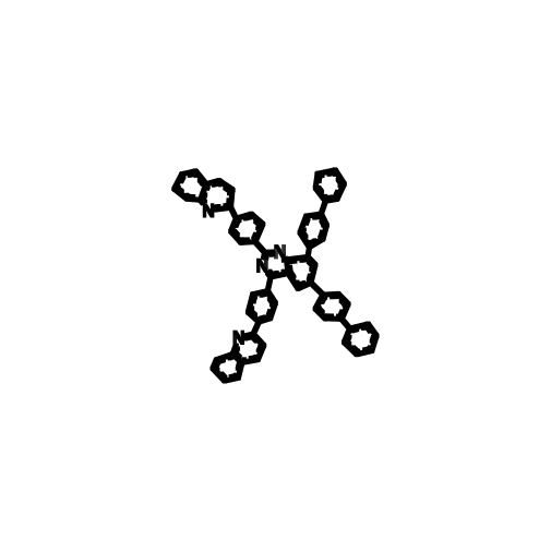 c1ccc(-c2ccc(-c3cc(-c4ccc(-c5ccccc5)cc4)c4nc(-c5ccc(-c6ccc7ccccc7n6)cc5)nc(-c5ccc(-c6ccc7ccccc7n6)cc5)c4c3)cc2)cc1